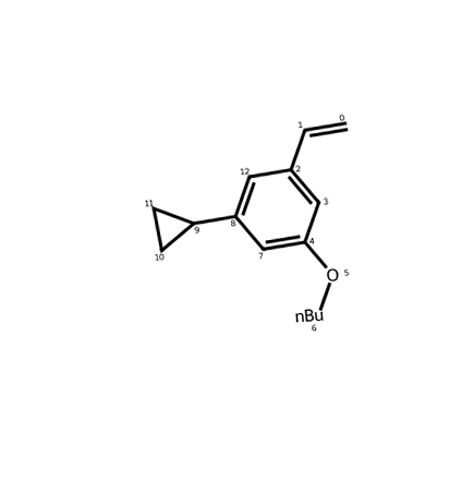 C=Cc1cc(OCCCC)cc(C2CC2)c1